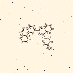 Brc1ccc(-c2nc(-c3ccc4ccc5ccccc5c4c3)nc3ccccc23)cc1